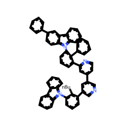 CCCCc1c(-c2cncc(-c3ccnc(-c4cccc(-n5c6ccccc6c6cc(-c7ccccc7)ccc65)c4-c4ccccc4)c3)c2)cccc1-n1c2ccccc2c2ccccc21